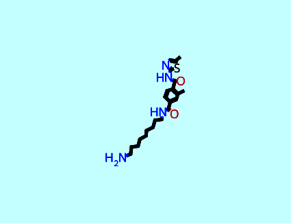 Cc1cnc(NC(=O)c2ccc(C(=O)NCCCCCCCCCN)cc2C)s1